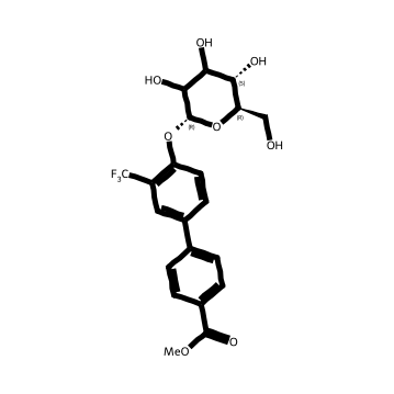 COC(=O)c1ccc(-c2ccc(O[C@H]3O[C@H](CO)[C@@H](O)C(O)C3O)c(C(F)(F)F)c2)cc1